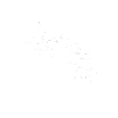 O=C(c1cc(-c2cnn(-c3c(Cl)cc(C(F)(C(F)(F)F)C(F)(F)F)cc3Cl)c2)cnc1Cl)N(C(=O)N(CCCl)CCCl)C1CC1